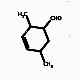 CC1C=CC(C)C(C=O)C1